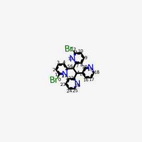 Brc1cccc(C(c2cccc(Br)n2)C(c2cccnc2)c2ccccn2)n1